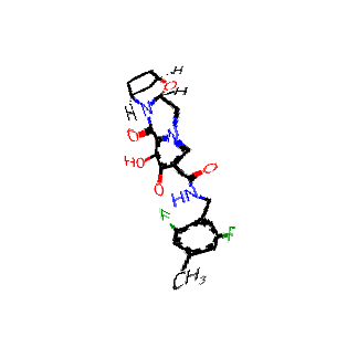 Cc1cc(F)c(CNC(=O)c2cn3c(c(O)c2=O)C(=O)N2[C@H]4CC[C@H](C4)O[C@@H]2C3)c(F)c1